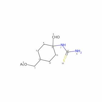 CC(=O)OCC1CCC(C=O)(NC(N)=S)CC1